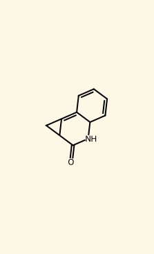 O=C1NC2C=CC=CC2=C2CC12